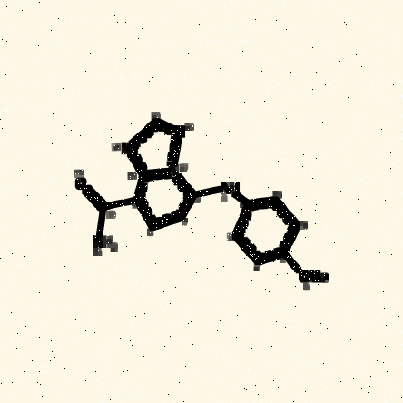 COc1ccc(Nc2ccc(C(N)=O)c3n[c]nn23)cc1